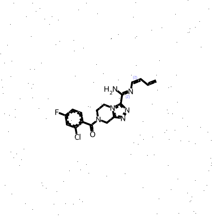 C=C/C=C\N=C(/N)c1nnc2n1CCN(C(=O)c1ccc(F)cc1Cl)C2